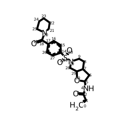 C=CC(=O)NC1CC2CCN(S(=O)(=O)c3ccc(C(=O)N4CCCCC4)cc3)CC2O1